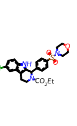 CCOC(=O)N1CCc2c([nH]c3ccc(Cl)cc23)C1c1ccc(S(=O)(=O)N2CCOCC2)cc1